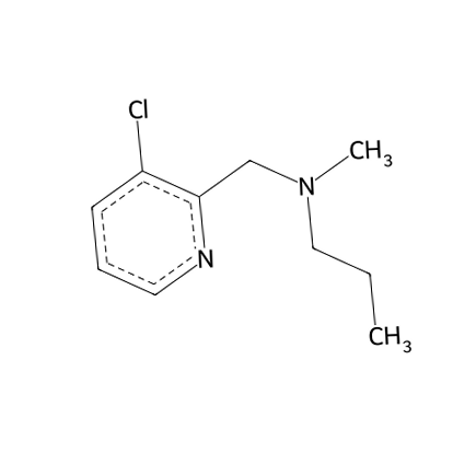 CCCN(C)Cc1ncccc1Cl